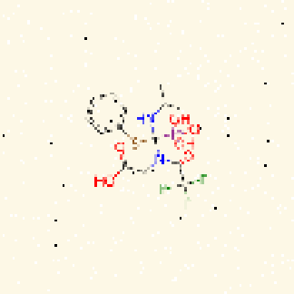 CC(C)NC(Sc1ccccc1)(N(CC(=O)O)C(=O)C(F)(F)F)P(=O)(O)O